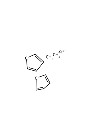 [CH3-].[CH3-].[Zr+4].c1cc[cH-]c1.c1cc[cH-]c1